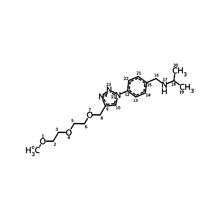 COCCOCCOCc1cn(-c2ccc(CNC(C)C)cc2)nn1